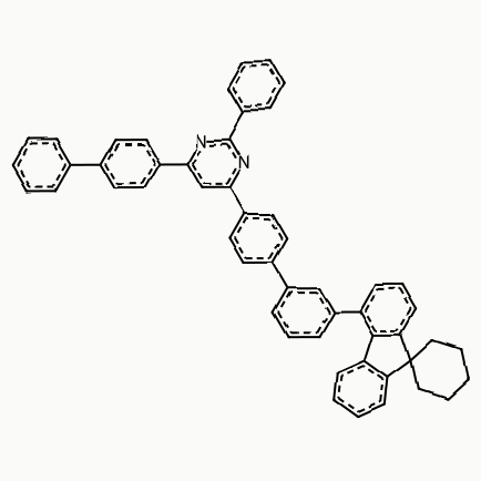 c1ccc(-c2ccc(-c3cc(-c4ccc(-c5cccc(-c6cccc7c6-c6ccccc6C76CCCCC6)c5)cc4)nc(-c4ccccc4)n3)cc2)cc1